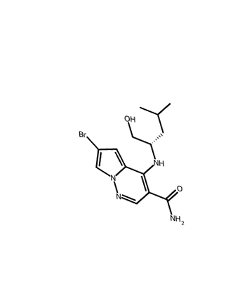 CC(C)C[C@@H](CO)Nc1c(C(N)=O)cnn2cc(Br)cc12